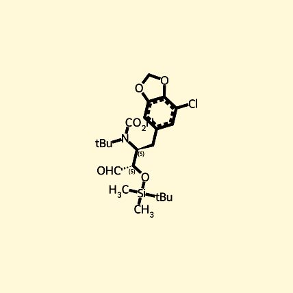 CC(C)(C)N(C(=O)O)[C@@H](Cc1cc(Cl)c2c(c1)OCO2)[C@@H](C=O)O[Si](C)(C)C(C)(C)C